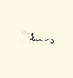 CCOC(=O)c1c(CCCNCCN2CCCC2)[nH]c(C(=O)OC(C)(C)C)c1C